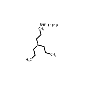 CCCN(CCC)CCC.F.[B+3].[F-].[F-].[F-]